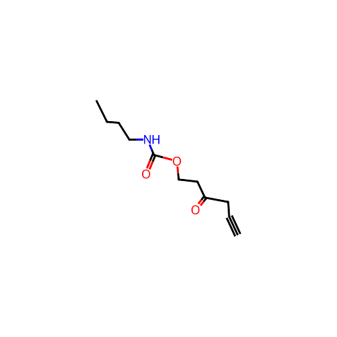 C#CCC(=O)CCOC(=O)NCCCC